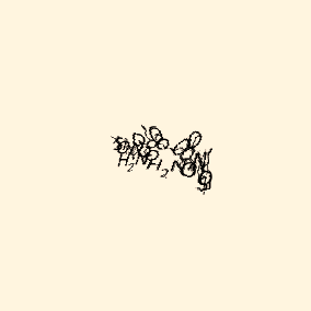 C=CCc1c(OC)c(OCCCOc2cc(N)c(C(=O)N3CC(=C)C[C@H]3CO[Si](C)(C)C(C)(C)C)cc2OC)cc(OC(N)=O)c1C(=O)N1CC(=C)C[C@H]1CO[Si](C)(C)C(C)(C)C